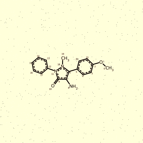 COc1ccc(-c2c(N)c(=O)n(-c3ccccc3)n2C)cc1